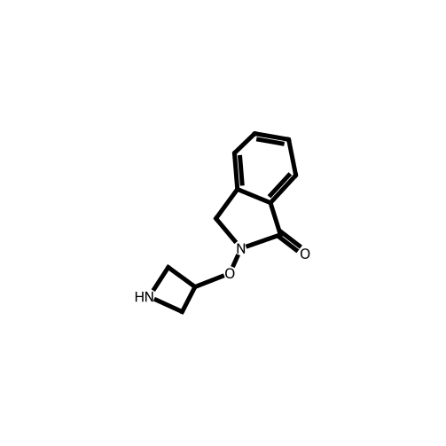 O=C1c2ccccc2CN1OC1CNC1